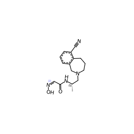 C[C@@H](CN1CCCc2c(C#N)cccc2C1)NC(=O)/C=N\O